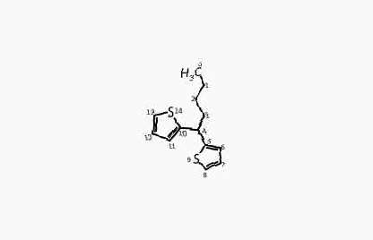 CCCC[C](c1cccs1)c1cccs1